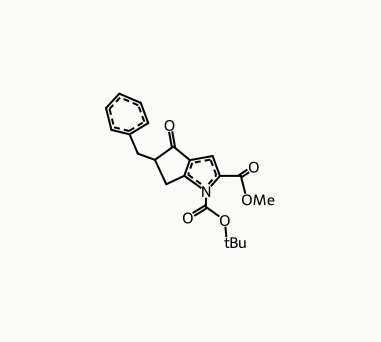 COC(=O)c1cc2c(n1C(=O)OC(C)(C)C)CC(Cc1ccccc1)C2=O